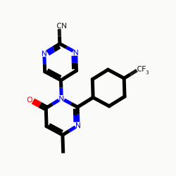 Cc1cc(=O)n(-c2cnc(C#N)nc2)c(C2CCC(C(F)(F)F)CC2)n1